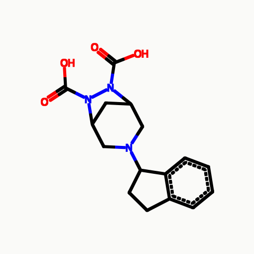 O=C(O)N1C2CC(CN(C3CCc4ccccc43)C2)N1C(=O)O